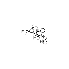 O=C(NNc1cc(C(F)(F)F)cc(C(F)(F)F)c1)C(c1ccccc1F)N1CCN2CCC[C@@H]2C1